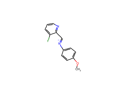 COc1ccc(/N=C/c2ncccc2F)cc1